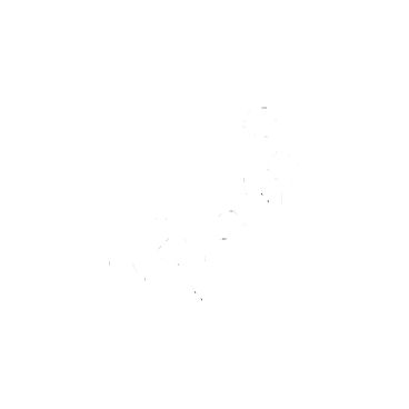 COC(=O)C1CCOc2cc(Oc3ccc(C(=O)Nc4cccc(-c5ccccc5)c4)cc3)c(C#N)cc21